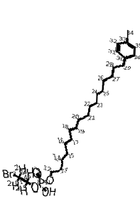 [2H]C([2H])(Br)C([2H])([2H])OP(=O)(O)OCCCCCCCCCCCCCCCCCCc1ccc(I)cc1